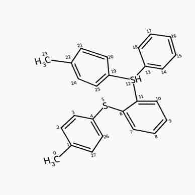 Cc1ccc(Sc2ccccc2[SH](c2ccccc2)c2ccc(C)cc2)cc1